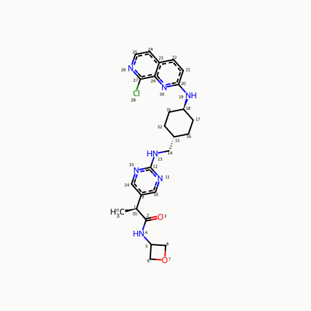 C[C@H](C(=O)NC1COC1)c1cnc(NC[C@H]2CC[C@H](Nc3ccc4ccnc(Cl)c4n3)CC2)nc1